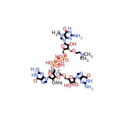 CO[C@@H]1[C@H](OC(OC[C@H]2O[C@@H](n3cnc4c(=O)[nH]c(N)nc43)[C@H](O)[C@@H]2O)C(=O)O)C(COP(=O)(O)OP(=O)(O)OP(=O)(O)OC[C@H]2OC(n3c[n+](C)c4c(=O)[nH]c(N)nc43)[C@H](O)[C@@H]2COCCN(C)C)O[C@H]1n1cnc2c(=O)[nH]c(N)nc21